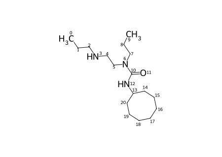 CCCNCCN(CCC)C(=O)NC1CCCCCCC1